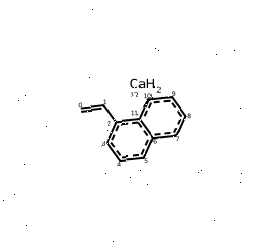 C=Cc1cccc2ccccc12.[CaH2]